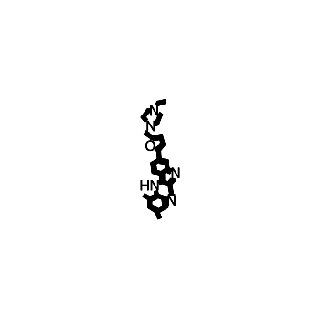 CCN1CCN(Cc2ccc(-c3ccc4c(Nc5ccc(C)cc5C)c(C#N)cnc4c3)o2)CC1